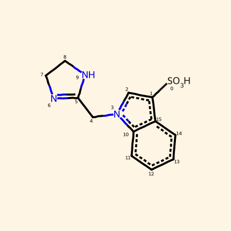 O=S(=O)(O)c1cn(CC2=NCCN2)c2ccccc12